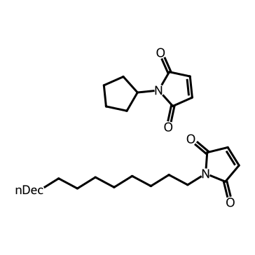 CCCCCCCCCCCCCCCCCCN1C(=O)C=CC1=O.O=C1C=CC(=O)N1C1CCCC1